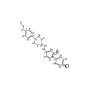 CCCc1ccc(C2CCC(CCc3ccc(-c4ccc(Cl)cc4)c(F)c3)CC2)cc1